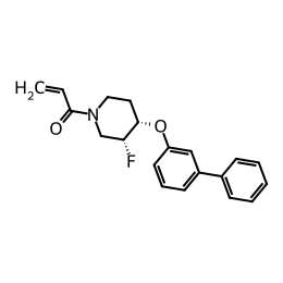 C=CC(=O)N1CC[C@H](Oc2cccc(-c3ccccc3)c2)[C@H](F)C1